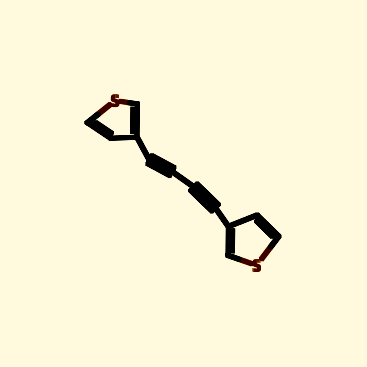 C(C#Cc1ccsc1)#Cc1ccsc1